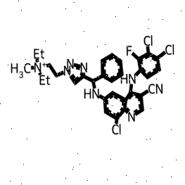 CC[N+](C)(CC)CCn1cc(C(Nc2cc(Cl)c3ncc(C#N)c(Nc4ccc(Cl)c(Cl)c4F)c3c2)c2ccccc2)nn1